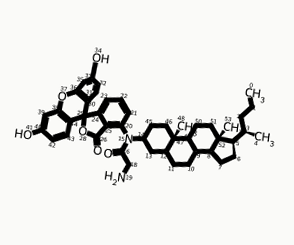 CCC[C@@H](C)[C@H]1CCC2C3CCC4CC(N(C(=O)CN)c5cccc6c5C(=O)OC65c6ccc(O)cc6Oc6cc(O)ccc65)CC[C@]4(C)C3CC[C@@]21C